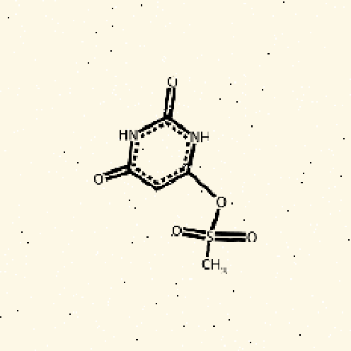 CS(=O)(=O)Oc1cc(=O)[nH]c(=O)[nH]1